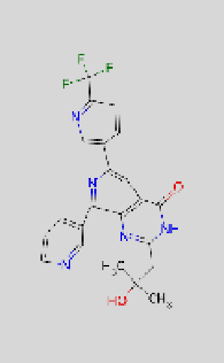 CC(C)(O)Cc1nc2c(-c3cccnc3)nc(-c3ccc(C(F)(F)F)nc3)cc2c(=O)[nH]1